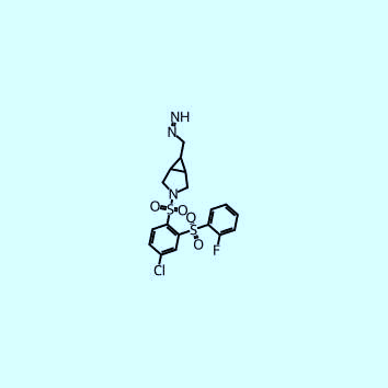 N=NCC1C2CN(S(=O)(=O)c3ccc(Cl)cc3S(=O)(=O)c3ccccc3F)CC12